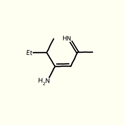 CCC(C)/C(N)=C\C(C)=N